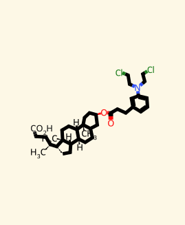 C[C@H](CCC(=O)O)[C@H]1CC[C@H]2[C@@H]3CCC4C[C@H](OC(=O)CCc5cccc(N(CCCl)CCCl)c5)CC[C@]4(C)[C@H]3CC[C@]12C